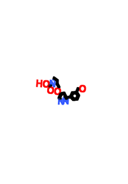 O=Cc1cccc(-c2cc(OCC3CCN3C(=O)O)cnn2)c1